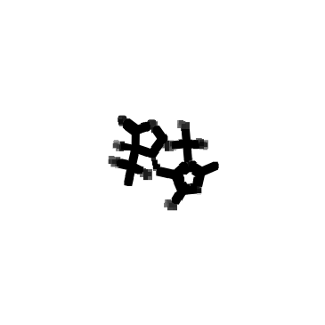 [2H]c1nc(C)n(C([2H])([2H])[2H])c1C[C@H]1COC(=O)[C@@]1([2H])C([2H])([2H])C